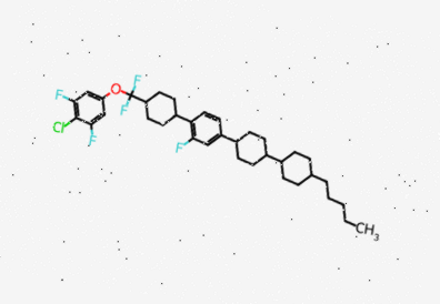 CCCCCC1CCC(C2CCC(c3ccc(C4CCC(C(F)(F)Oc5cc(F)c(Cl)c(F)c5)CC4)c(F)c3)CC2)CC1